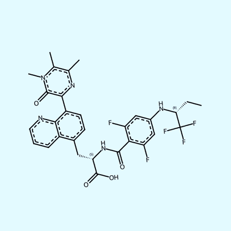 CC[C@@H](Nc1cc(F)c(C(=O)N[C@@H](Cc2ccc(-c3nc(C)c(C)n(C)c3=O)c3ncccc23)C(=O)O)c(F)c1)C(F)(F)F